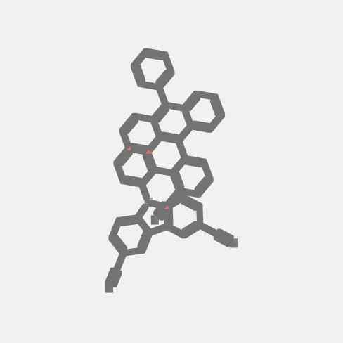 N#Cc1ccc2c(c1)c1cc(C#N)ccc1n2-c1ccccc1-c1c(C#N)cccc1-c1c2ccccc2c(-c2ccccc2)c2ccccc12